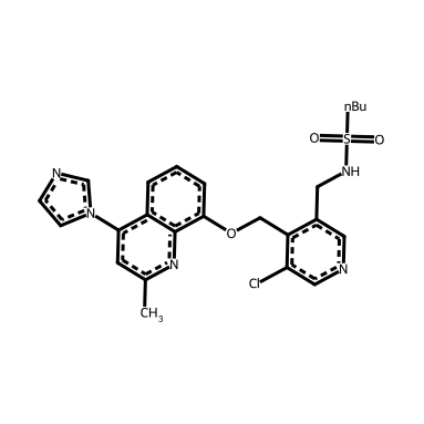 CCCCS(=O)(=O)NCc1cncc(Cl)c1COc1cccc2c(-n3ccnc3)cc(C)nc12